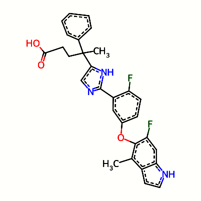 Cc1c(Oc2ccc(F)c(-c3ncc(C(C)(CCC(=O)O)c4ccccc4)[nH]3)c2)c(F)cc2[nH]ccc12